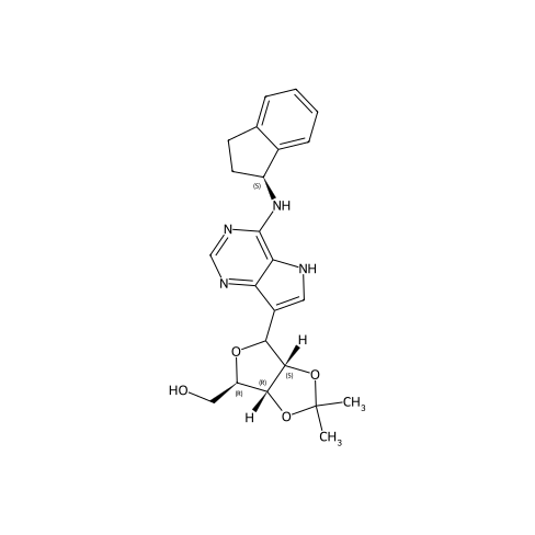 CC1(C)O[C@@H]2[C@@H](CO)OC(c3c[nH]c4c(N[C@H]5CCc6ccccc65)ncnc34)[C@@H]2O1